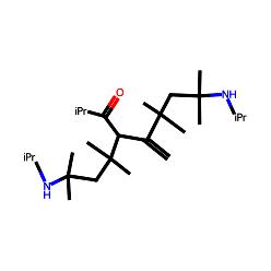 C=C(C(C(=O)C(C)C)C(C)(C)CC(C)(C)NC(C)C)C(C)(C)CC(C)(C)NC(C)C